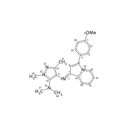 COc1ccc(C2=C/C(=N\c3c(C)nn(C)c3N(C)C)c3cccc[n+]32)cc1